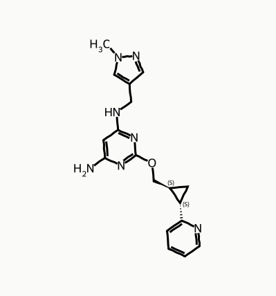 Cn1cc(CNc2cc(N)nc(OC[C@H]3C[C@@H]3c3ccccn3)n2)cn1